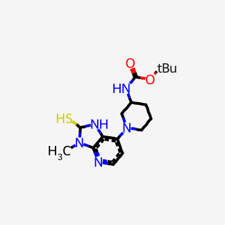 CN1c2nccc(N3CCCC(NC(=O)OC(C)(C)C)C3)c2NC1S